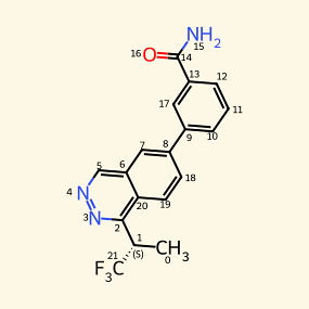 C[C@@H](c1nncc2cc(-c3cccc(C(N)=O)c3)ccc12)C(F)(F)F